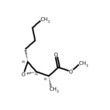 CCCC[C@H]1O[C@H]1[C@@H](C)C(=O)OC